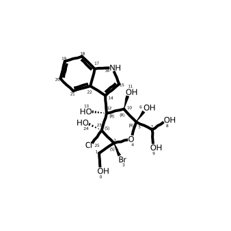 OC[C@@]1(Br)O[C@@](O)(C(O)O)[C@H](O)[C@](O)(c2c[nH]c3ccccc23)[C@]1(O)Cl